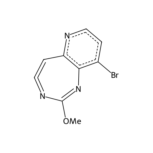 COC1=Nc2c(Br)ccnc2C=C=N1